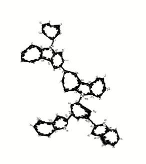 c1ccc(-n2c3ccccc3c3cc(-c4ccc5c(c4)c4ccccc4n5-c4cc(-c5cc6ccccc6s5)cc(-c5cc6ccccc6s5)c4)ccc32)cc1